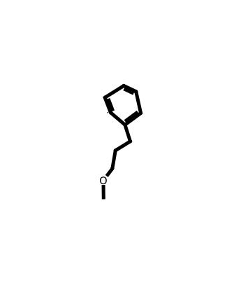 COCCCc1[c]cccc1